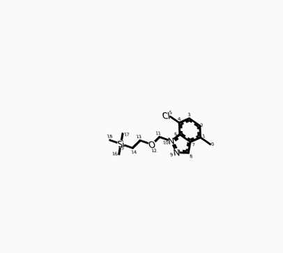 Cc1ccc(Cl)c2c1cnn2COCC[Si](C)(C)C